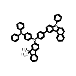 CC1(C)c2ccccc2-c2ccc(N(c3ccc(-c4ccc5c(c4)c4c6ccccc6ccc4n5-c4ccccc4)cc3)c3ccc(P(c4ccccc4)c4ccccc4)cc3)cc21